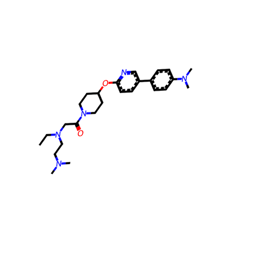 CCN(CCN(C)C)CC(=O)N1CCC(Oc2ccc(-c3ccc(N(C)C)cc3)cn2)CC1